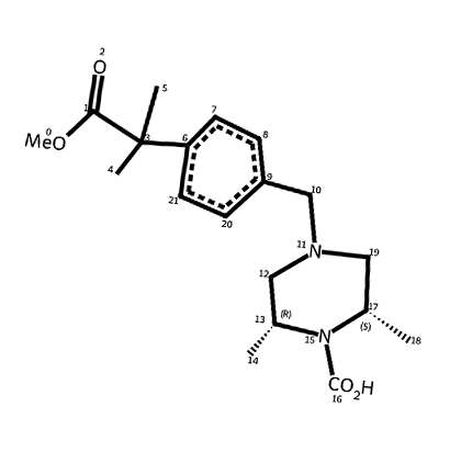 COC(=O)C(C)(C)c1ccc(CN2C[C@@H](C)N(C(=O)O)[C@@H](C)C2)cc1